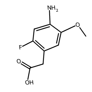 COc1cc(CC(=O)O)c(F)cc1N